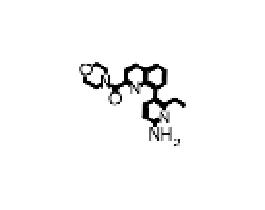 CCc1nc(N)ccc1-c1cccc2ccc(C(=O)N3CCOCC3)nc12